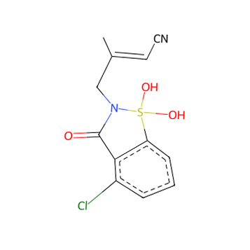 CC(=CC#N)CN1C(=O)c2c(Cl)cccc2S1(O)O